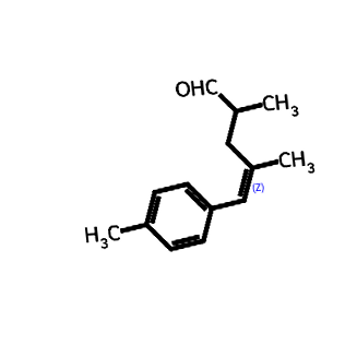 C/C(=C/c1ccc(C)cc1)CC(C)C=O